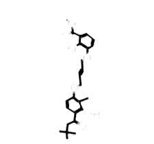 COC(=O)c1cccc(OCC#CCOc2ccc(C(=O)CC(C)(C)C)c(O)c2C)c1OC